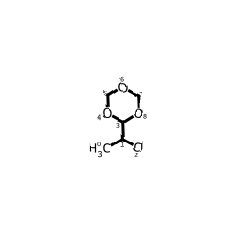 CC(Cl)C1OCOCO1